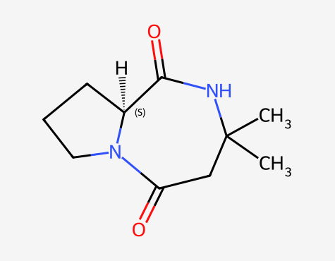 CC1(C)CC(=O)N2CCC[C@H]2C(=O)N1